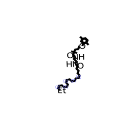 CC/C=C\C/C=C\C/C=C\C/C=C\C/C=C\CCCC(=O)NCCNC(=O)C(C)(C)CCCOc1cc(C)ccc1C